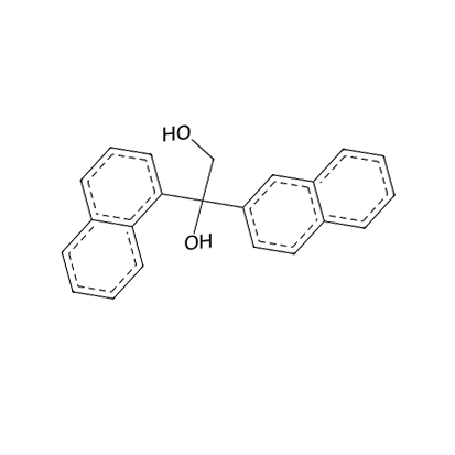 OCC(O)(c1ccc2ccccc2c1)c1cccc2ccccc12